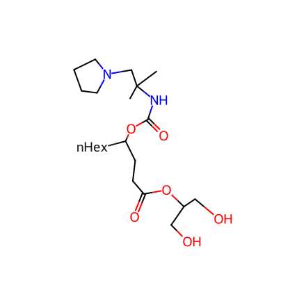 CCCCCCC(CCC(=O)OC(CO)CO)OC(=O)NC(C)(C)CN1CCCC1